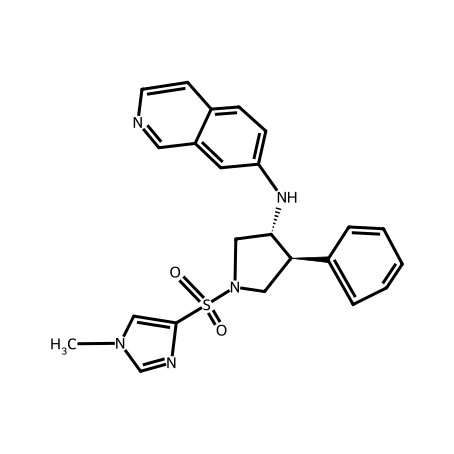 Cn1cnc(S(=O)(=O)N2C[C@H](Nc3ccc4ccncc4c3)[C@@H](c3ccccc3)C2)c1